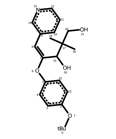 CC(C)(C)Oc1ccc(OC(=Cc2cccnc2)C(O)C(C)(C)CO)cc1